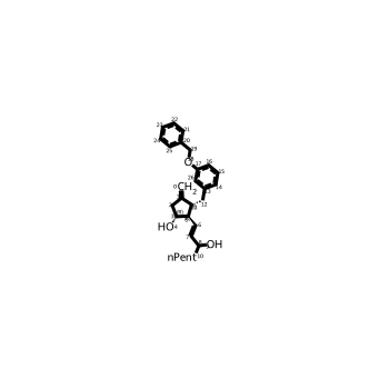 C=C1C[C@@H](O)[C@H](C=CC(O)CCCCC)[C@H]1Cc1cccc(OCc2ccccc2)c1